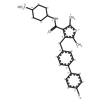 Cc1sc(C)c(C(=O)NC2CCC(C(=O)O)CC2)c1Cc1ccc(-c2ccc(F)cc2)cc1